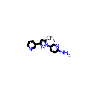 Nc1ccc(-n2nc(-c3cccnc3)cc2C(F)(F)F)cn1